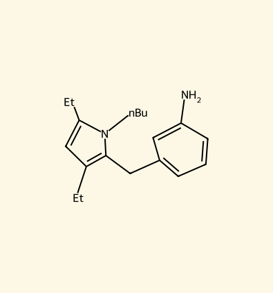 CCCCn1c(CC)cc(CC)c1Cc1cccc(N)c1